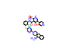 CN1C=C(c2ccncc2)C(O)=C(C(=O)Nc2cccc(Sc3cnc(N4CCC5(CC4)Cc4ccccc4[C@H]5N)cn3)c2Cl)C1=C=O